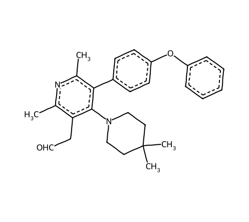 Cc1nc(C)c(-c2ccc(Oc3ccccc3)cc2)c(N2CCC(C)(C)CC2)c1CC=O